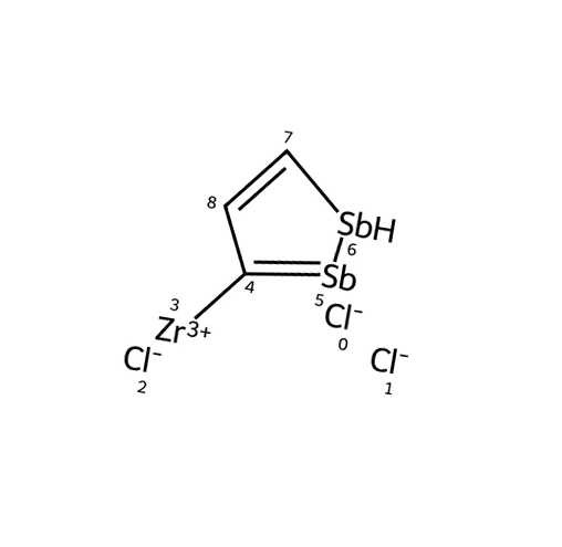 [Cl-].[Cl-].[Cl-].[Zr+3][C]1=[Sb][SbH][CH]=C1